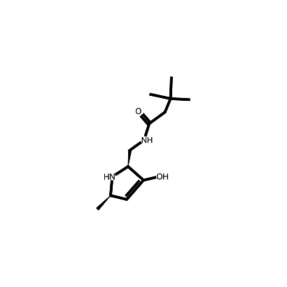 C[C@@H]1C=C(O)[C@H](CNC(=O)CC(C)(C)C)N1